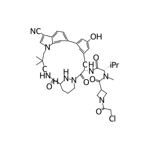 CC(C)[C@@H](C(=O)N[C@H]1Cc2cc(O)cc(c2)-c2ccc3c(C#N)cn(c3c2)CC(C)(C)CNC(=O)[C@@H]2CCCN(N2)C1=O)N(C)C(=O)C1CN(C(=O)CCl)C1